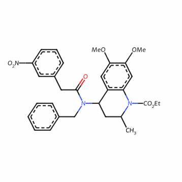 CCOC(=O)N1c2cc(OC)c(OC)cc2C(N(Cc2ccccc2)C(=O)Cc2cccc([N+](=O)[O-])c2)CC1C